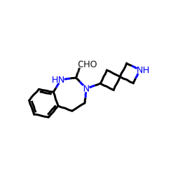 O=CC1Nc2ccccc2CCN1C1CC2(CNC2)C1